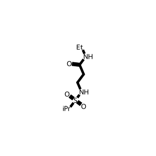 CCNC(=O)CCNS(=O)(=O)C(C)C